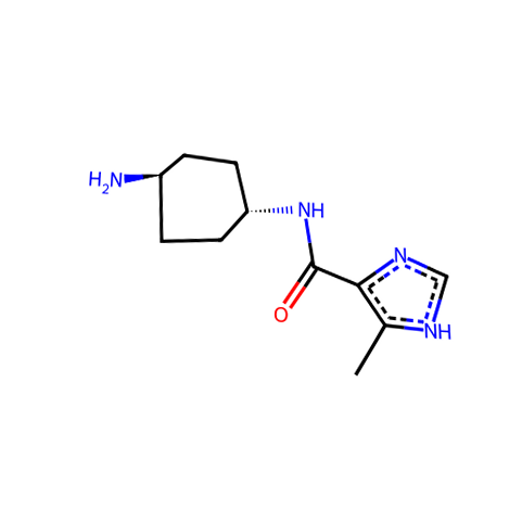 Cc1[nH]cnc1C(=O)N[C@H]1CC[C@H](N)CC1